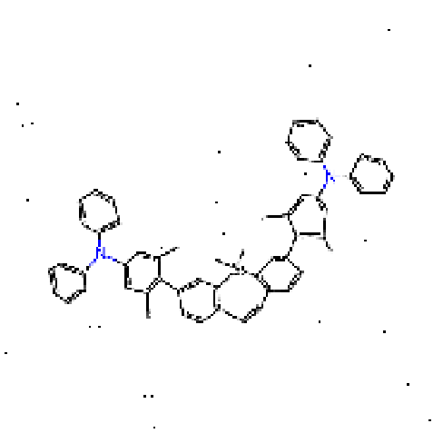 Cc1cc(N(c2ccccc2)c2ccccc2)cc(C)c1-c1ccc2c(c1)[Si](C)(C)c1cc(-c3c(C)cc(N(c4ccccc4)c4ccccc4)cc3C)ccc1C=C2